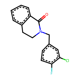 O=C1c2ccccc2CCN1Cc1ccc(F)c(Cl)c1